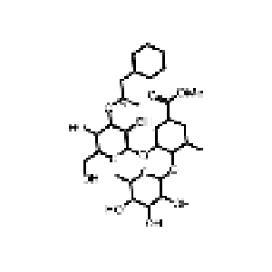 COC(=O)C1CC(C)C(OC2OC(C)C(O)C(O)C2O)C(OC2OC(CO)C(O)C(O[C@H](C)CC3CCCCC3)C2O)C1